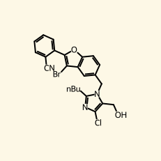 CCCCc1nc(Cl)c(CO)n1Cc1ccc2oc(-c3ccccc3C#N)c(Br)c2c1